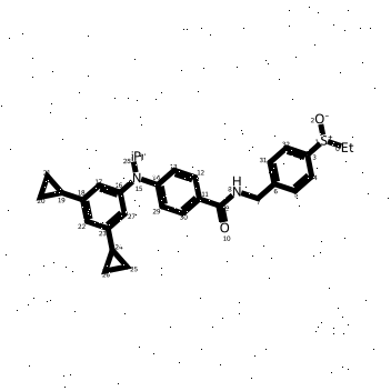 CC[S+]([O-])c1ccc(CNC(=O)c2ccc(N(c3cc(C4CC4)cc(C4CC4)c3)C(C)C)cc2)cc1